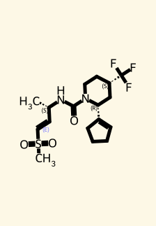 C[C@@H](/C=C/S(C)(=O)=O)NC(=O)N1CC[C@H](C(F)(F)F)C[C@@H]1C1=CCCC1